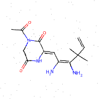 C=CC(C)(C)/C(N)=C(N)\C=C1/NC(=O)CN(C(C)=O)C1=O